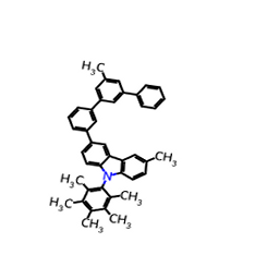 Cc1cc(-c2ccccc2)cc(-c2cccc(-c3ccc4c(c3)c3cc(C)ccc3n4-c3c(C)c(C)c(C)c(C)c3C)c2)c1